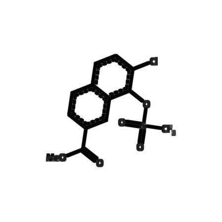 COC(=O)c1ccc2ccc(Cl)c(OS(=O)(=O)C(F)(F)F)c2c1